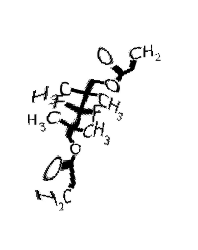 C=CC(=O)OCC(C)(C)C(F)(F)C(C)(C)COC(=O)C=C